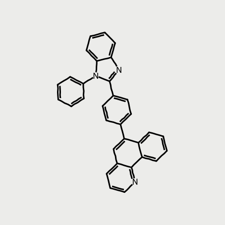 c1ccc(-n2c(-c3ccc(-c4cc5cccnc5c5ccccc45)cc3)nc3ccccc32)cc1